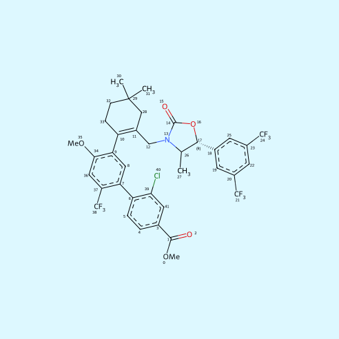 COC(=O)c1ccc(-c2cc(C3=C(CN4C(=O)O[C@H](c5cc(C(F)(F)F)cc(C(F)(F)F)c5)C4C)CC(C)(C)CC3)c(OC)cc2C(F)(F)F)c(Cl)c1